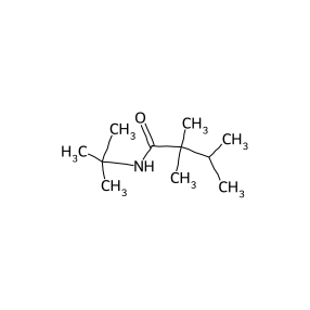 CC(C)C(C)(C)C(=O)NC(C)(C)C